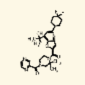 CC(C)(C)c1cc(C2CCC(F)(F)CC2)nc2cc(C(=O)N3CCN(C(=O)c4cnccn4)CC3(C)C)oc12